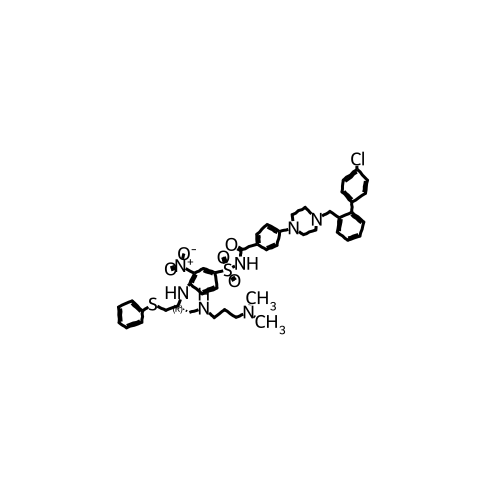 CN(C)CCCNC[C@H](CSc1ccccc1)Nc1ccc(S(=O)(=O)NC(=O)c2ccc(N3CCN(Cc4ccccc4-c4ccc(Cl)cc4)CC3)cc2)cc1[N+](=O)[O-]